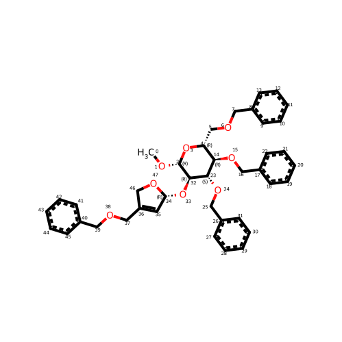 CO[C@@H]1O[C@H](COCc2ccccc2)[C@@H](OCc2ccccc2)[C@H](OCc2ccccc2)[C@H]1O[C@@H]1C=C(COCc2ccccc2)CO1